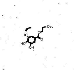 C=CC.CCCCCCCCCCCCOC(=O)c1cc(O)c(O)c(O)c1